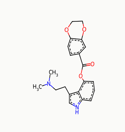 CN(C)CCc1c[nH]c2cccc(OC(=O)c3ccc4c(c3)OCCO4)c12